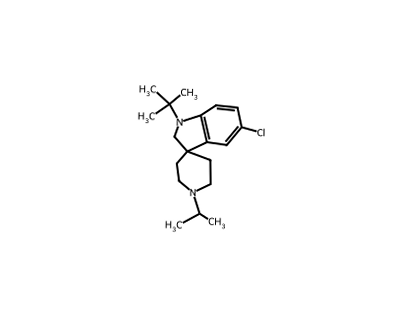 CC(C)N1CCC2(CC1)CN(C(C)(C)C)c1ccc(Cl)cc12